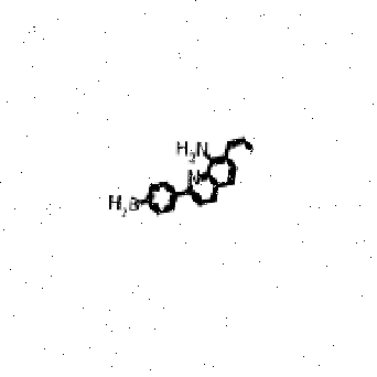 Bc1ccc(C2=CCC3C=CC(/C=C\C)=C(N)C3=N2)cc1